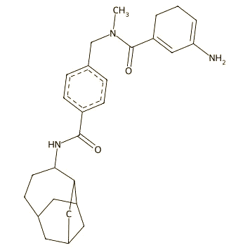 CN(Cc1ccc(C(=O)NC2CCC3CC4CC(C3)C2C4)cc1)C(=O)C1=CC(N)=CCC1